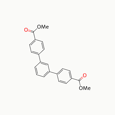 COC(=O)c1ccc(-c2cccc(-c3ccc(C(=O)OC)cc3)c2)cc1